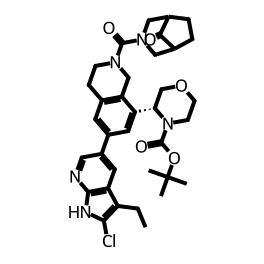 CCc1c(Cl)[nH]c2ncc(-c3cc4c(c([C@@H]5COCCN5C(=O)OC(C)(C)C)c3)CN(C(=O)N3CC5CCC(C3)C5=O)CC4)cc12